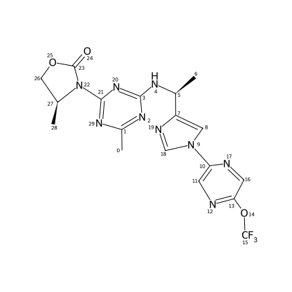 Cc1nc(N[C@@H](C)c2cn(-c3cnc(OC(F)(F)F)cn3)cn2)nc(N2C(=O)OC[C@@H]2C)n1